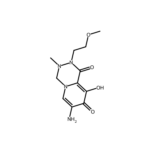 COCCN1C(=O)c2c(O)c(=O)c(N)cn2CN1C